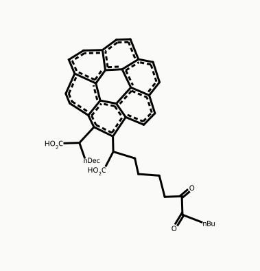 CCCCCCCCCCC(C(=O)O)c1c(C(CCCCC(=O)C(=O)CCCC)C(=O)O)c2ccc3ccc4ccc5ccc6ccc1c1c6c5c4c3c21